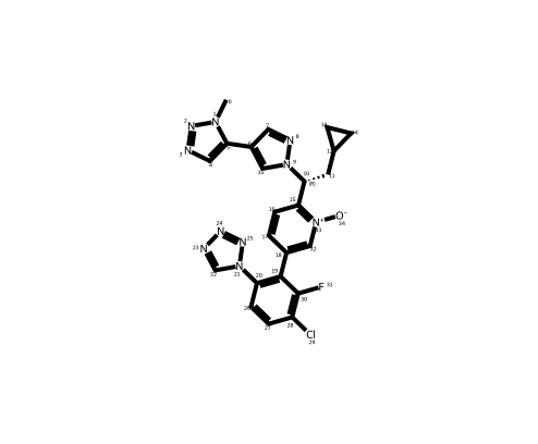 Cn1nncc1-c1cnn([C@H](CC2CC2)c2ccc(-c3c(-n4cnnn4)ccc(Cl)c3F)c[n+]2[O-])c1